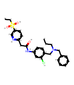 CCCN(Cc1ccccc1)Cc1ccc(NC(=O)Cc2ccc(S(=O)(=O)CC)cn2)cc1Cl